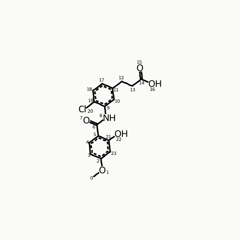 COc1ccc(C(=O)Nc2cc(CCC(=O)O)ccc2Cl)c(O)c1